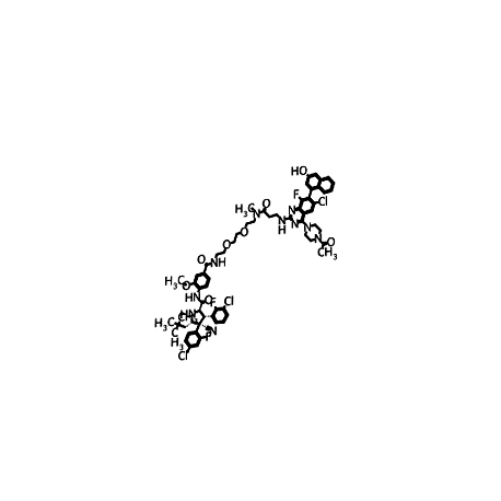 COc1cc(C(=O)NCCOCCOCCN(C)C(=O)CCNc2nc(N3CCN(C(C)=O)CC3)c3cc(Cl)c(-c4cc(O)cc5ccccc45)c(F)c3n2)ccc1NC(=O)[C@@H]1N[C@@H](CC(C)(C)C)[C@](C#N)(c2ccc(Cl)cc2F)[C@H]1c1cccc(Cl)c1F